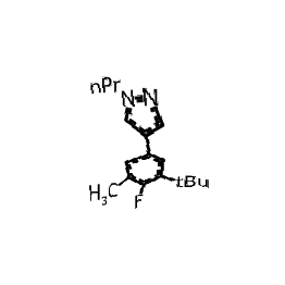 CCCn1cc(-c2cc(C)c(F)c(C(C)(C)C)c2)cn1